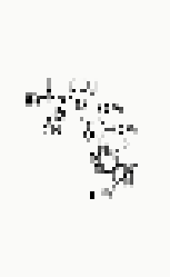 CCCc1nn(C)c2c(=O)n(C3OC(COC(C(=O)O)P(NC(C)C)OCC#N)C(OC(C)=O)C3OC(C)=O)nnc12